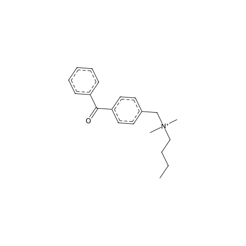 CCCC[N+](C)(C)Cc1ccc(C(=O)c2ccccc2)cc1